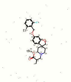 CCc1cccc(F)c1COc1ccc2c(c1)OCC21CCN(CC(C)C(=O)OC(C)(C)C)CC1